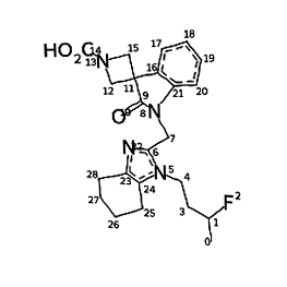 CC(F)CCn1c(CN2C(=O)C3(CN(C(=O)O)C3)c3ccccc32)nc2c1CCCC2